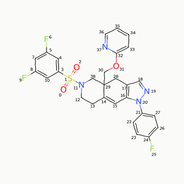 O=S(=O)(c1cc(F)cc(F)c1)N1CCC2=Cc3c(cnn3-c3ccc(F)cc3)CC2(COc2ccccn2)C1